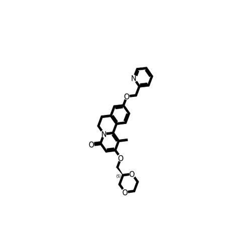 Cc1c(OC[C@@H]2COCCO2)cc(=O)n2c1-c1ccc(OCc3ccccn3)cc1CC2